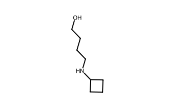 OCCCCNC1CCC1